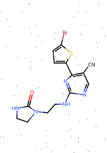 N#Cc1cnc(NCCN2CCNC2=O)nc1-c1ccc(Br)s1